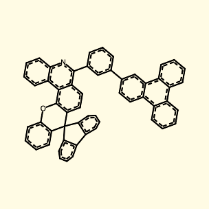 c1cc(-c2ccc3c4ccccc4c4ccccc4c3c2)cc(-c2nc3ccccc3c3c4c(ccc23)C2(c3ccccc3O4)c3ccccc3-c3ccccc32)c1